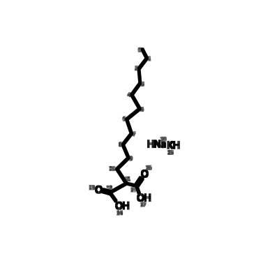 CCCCCCCCCCCC(C(=O)O)C(=O)O.[KH].[NaH]